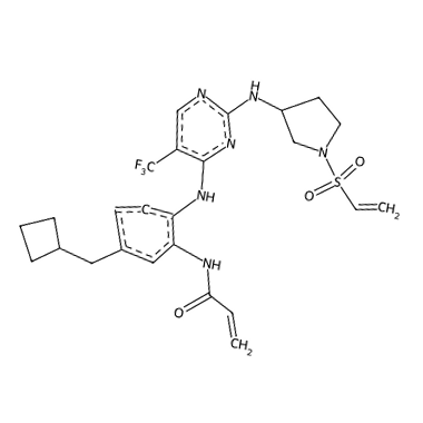 C=CC(=O)Nc1cc(CC2CCC2)ccc1Nc1nc(NC2CCN(S(=O)(=O)C=C)C2)ncc1C(F)(F)F